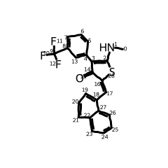 CNC1=C(c2cccc(C(F)(F)F)c2)C(=O)/C(=C\c2cccc3ccccc23)S1